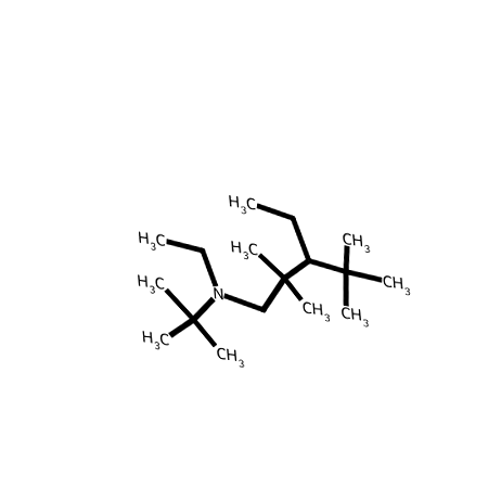 CCC(C(C)(C)C)C(C)(C)CN(CC)C(C)(C)C